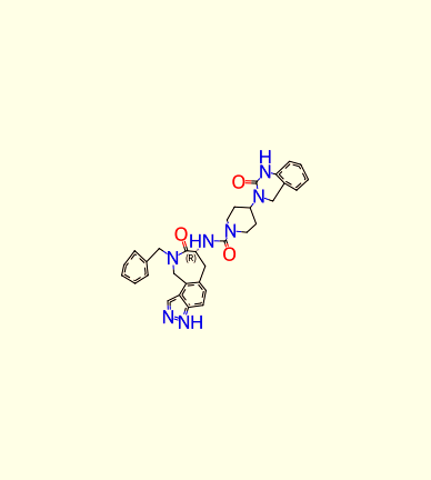 O=C(N[C@@H]1Cc2ccc3[nH]ncc3c2CN(Cc2ccccc2)C1=O)N1CCC(N2Cc3ccccc3NC2=O)CC1